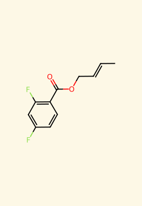 C/C=C/COC(=O)c1ccc(F)cc1F